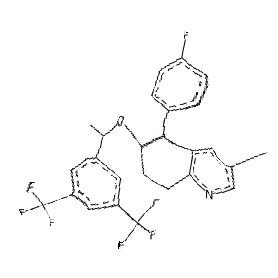 Cc1cnc2c(c1)C(c1ccc(F)cc1)C(OC(C)c1cc(C(F)(F)F)cc(C(F)(F)F)c1)CC2